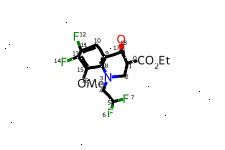 CCOC(=O)C1CN(CC(F)F)c2c(cc(F)c(F)c2OC)C1=O